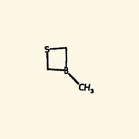 CB1CSC1